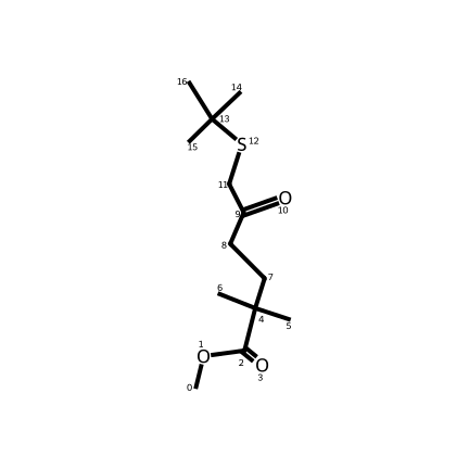 COC(=O)C(C)(C)CCC(=O)CSC(C)(C)C